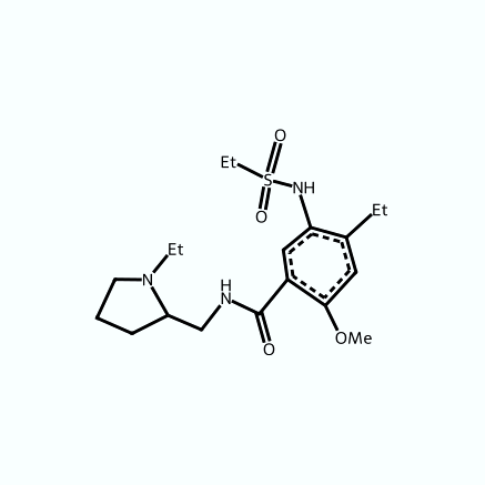 CCc1cc(OC)c(C(=O)NCC2CCCN2CC)cc1NS(=O)(=O)CC